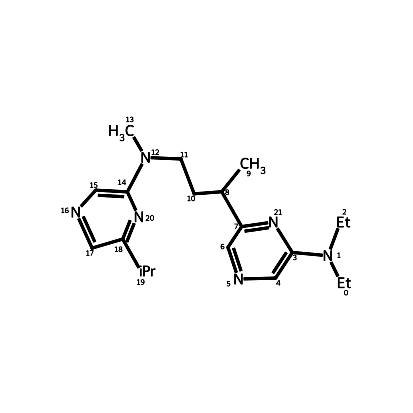 CCN(CC)c1cncc(C(C)CCN(C)c2cncc(C(C)C)n2)n1